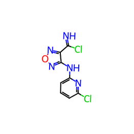 N=C(Cl)c1nonc1Nc1cccc(Cl)n1